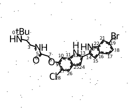 CC(C)(C)NCCNC(=O)COc1cc2[nH]c(-c3cc4ccc(Br)cc4[nH]3)cc2cc1Cl